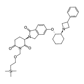 C[Si](C)(C)CCOCN1C(=O)CC[C@@H](N2Cc3cc(O[C@H]4CCCC[C@@H]4N4CC(c5ccccc5)C4)ccc3C2=O)C1=O